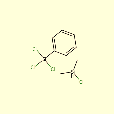 C[SiH](C)Cl.Cl[Si](Cl)(Cl)c1ccccc1